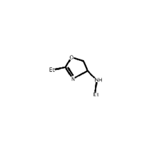 CCNC1COC(CC)=N1